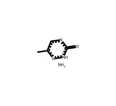 Cc1cnc(=O)[nH]n1.N